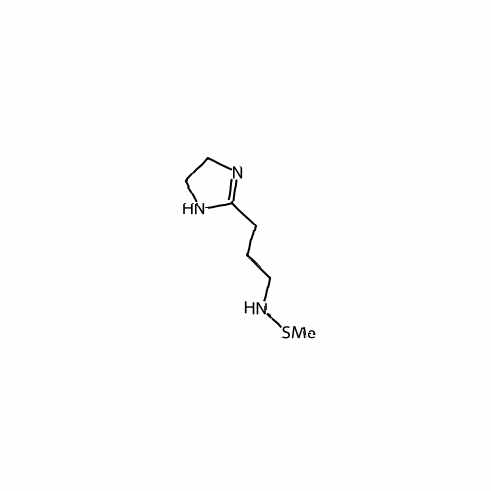 CSNCCCC1=NCCN1